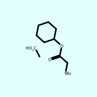 CC(=O)O.CC(C)(C)CC(=O)OC1CCCCC1